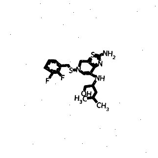 CC(C)CC(CO)NC1=CN(SCc2cccc(F)c2F)Cc2sc(N)nc21